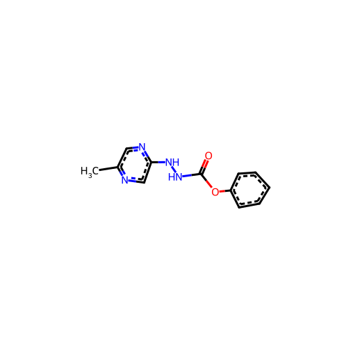 Cc1cnc(NNC(=O)Oc2ccccc2)cn1